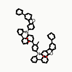 Cc1cc(N(c2ccc3oc4ccc(-c5ccccc5)cc4c3c2)c2ccccc2-c2ccccc2)ccc1-c1ccc(N(c2ccc3oc4ccc(-c5ccccc5)cc4c3c2)c2ccccc2-c2ccccc2)cc1C